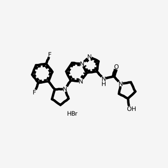 Br.O=C(Nc1cnn2ccc(N3CCCC3c3cc(F)ccc3F)nc12)N1CCC(O)C1